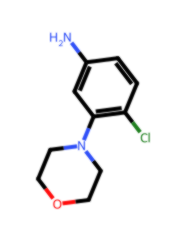 Nc1ccc(Cl)c(N2CCOCC2)c1